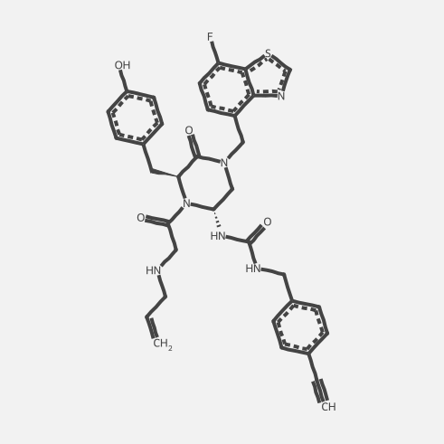 C#Cc1ccc(CNC(=O)N[C@H]2CN(Cc3ccc(F)c4scnc34)C(=O)[C@H](Cc3ccc(O)cc3)N2C(=O)CNCC=C)cc1